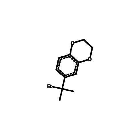 CCC(C)(C)c1ccc2c(c1)OCCO2